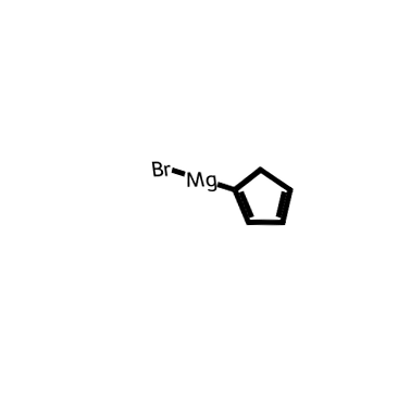 [Br][Mg][C]1=CC=CC1